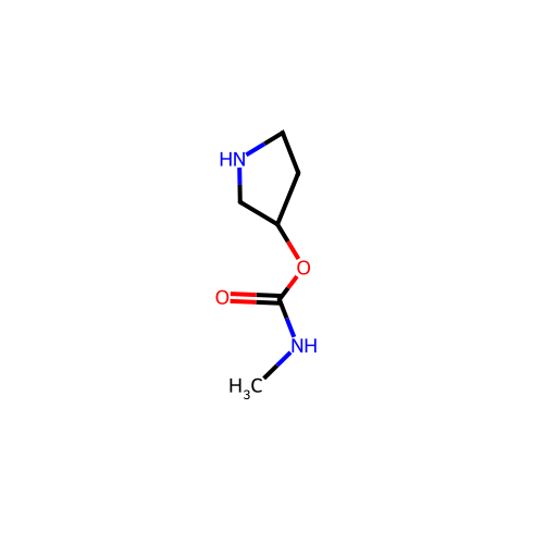 CNC(=O)OC1CCNC1